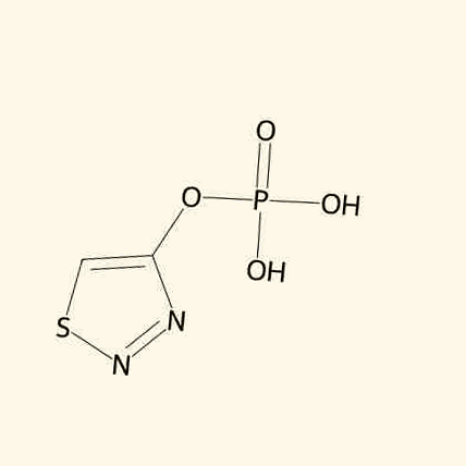 O=P(O)(O)Oc1csnn1